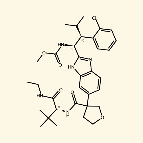 CCNC(=O)[C@H](NC(=O)C1(c2ccc3nc([C@@H](NC(=O)OC)[C@H](c4ccccc4Cl)C(C)C)[nH]c3c2)CCOC1)C(C)(C)C